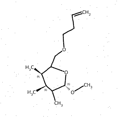 C=CCCOCC1O[C@H](OC)C(C)[C@@H](C)[C@H]1C